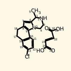 CC1NCCn2c1cc1c2-c2ccc(Cl)cc2CC1.O=C(O)/C=C/C(=O)O